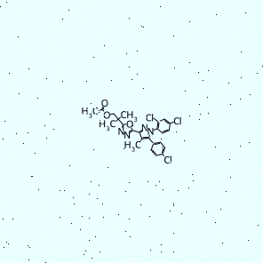 CC(=O)OCC(C)(C)c1nnc(-c2nn(-c3ccc(Cl)cc3Cl)c(-c3ccc(Cl)cc3)c2C)o1